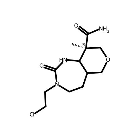 C[C@]1(C(N)=O)COCC2CCN(CCCl)C(=O)NC21